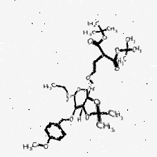 CCS[C@@H]1O[C@H](COCCC(C(=O)OC(C)(C)C)C(=O)OC(C)(C)C)[C@@H]2OC(C)(C)O[C@@H]2[C@H]1OCc1ccc(OC)cc1